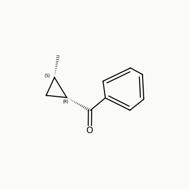 C[C@H]1C[C@H]1C(=O)c1ccccc1